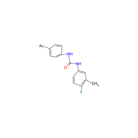 CC(=O)c1ccc(NC(=O)Nc2ccc(F)c(C)c2)cc1